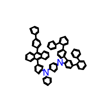 c1ccc(-c2ccc(-c3c4ccccc4c(-c4cccc(N(c5ccccc5)c5ccc(-n6c7ccc(-c8ccccc8-c8ccccc8)cc7c7cc(-c8ccccc8-c8ccccc8)ccc76)cc5)c4)c4ccccc34)cc2)cc1